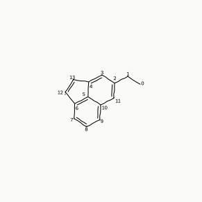 CCc1cc2c3c(cccc3c1)[C]=C2